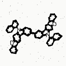 c1ccc2c(-n3c4ccc(-c5ccc6c(c5)c5cc7c(cc5n6-c5cccc6ccccc56)oc5ccccc57)cc4c4cc5c(cc43)oc3ccccc35)cccc2c1